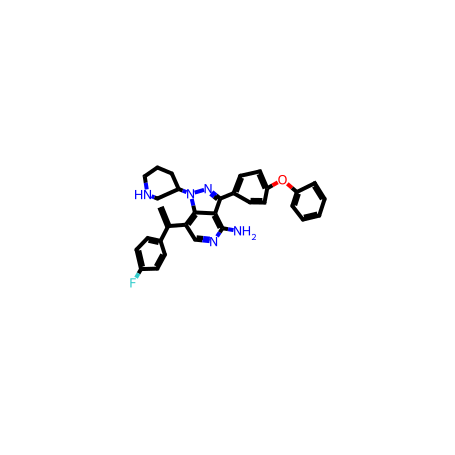 C=C(c1ccc(F)cc1)c1cnc(N)c2c(-c3ccc(Oc4ccccc4)cc3)nn(C3CCCNC3)c12